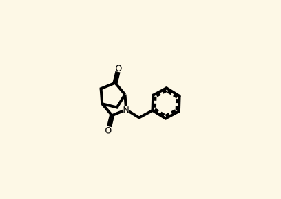 O=C1CC2CC1N(Cc1ccccc1)C2=O